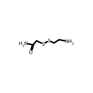 NCCSSCC(N)=O